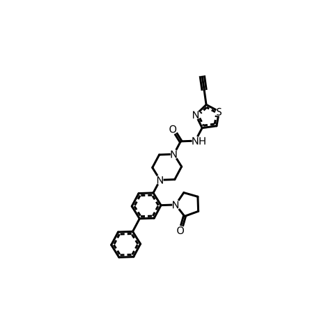 C#Cc1nc(NC(=O)N2CCN(c3ccc(-c4ccccc4)cc3N3CCCC3=O)CC2)cs1